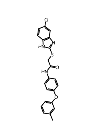 Cc1cccc(Oc2ccc(NC(=O)CSc3nc4cc(Cl)ccc4[nH]3)cc2)c1